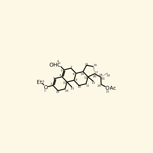 CCOC1=CC2=C(C=O)CC3C(CCC4(C)C3CC[C@@H]4[C@H](C)COC(C)=O)C2(C)CC1